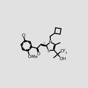 COc1ccc(Cl)cc1C(=O)/C=C1\SC(C(C)(O)C(F)(F)F)=C(C)N1CC1CCC1